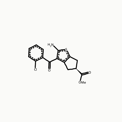 COC(=O)[C@@H]1Cc2sc(N)c(C(=O)c3ccccc3Cl)c2C1